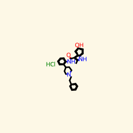 Cc1[nH]c2ccc(O)cc2c1C(=O)Nc1ccccc1C1CCN(CCc2ccccc2)CC1.Cl